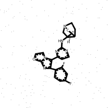 Fc1ccc(-c2nc3occn3c2-c2ccnc(N[C@H]3CN4CCC3CC4)n2)c(F)c1